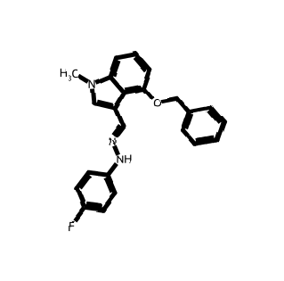 Cn1cc(/C=N/Nc2ccc(F)cc2)c2c(OCc3ccccc3)cccc21